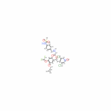 CN(CC(=O)OC(Cc1c(Cl)c[n+]([O-])cc1Cl)c1ccc(OC(F)F)c(OCC2CC2)c1)Cc1ccc(NS(C)(=O)=O)cc1